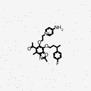 CC(=O)c1c(OCC[n+]2ccc(N)cc2)c(OCCC(C)c2ccc(F)cc2)c2oc(C)nc2c1C